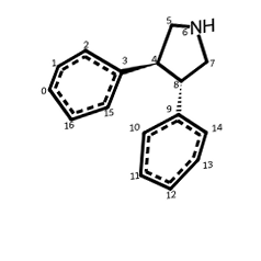 c1ccc([C@H]2CNC[C@@H]2c2ccccc2)cc1